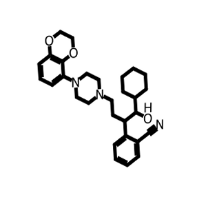 N#Cc1ccccc1C(CCN1CCN(c2cccc3c2OCCO3)CC1)C(O)C1CCCCC1